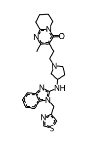 Cc1nc2n(c(=O)c1CCN1CCC(Nc3nc4ccccc4n3Cc3cscn3)C1)CCCC2